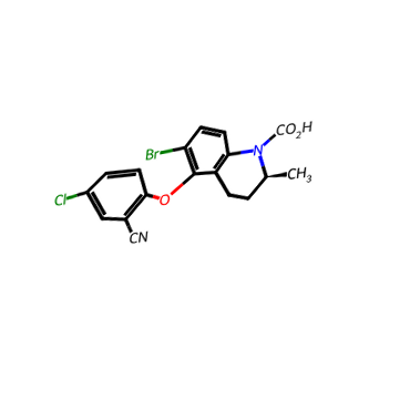 C[C@H]1CCc2c(ccc(Br)c2Oc2ccc(Cl)cc2C#N)N1C(=O)O